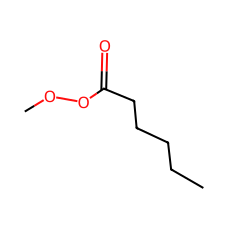 CCCCCC(=O)OOC